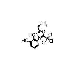 C=Cc1nnc(C(Cl)(Cl)Cl)o1.Oc1ccccc1O